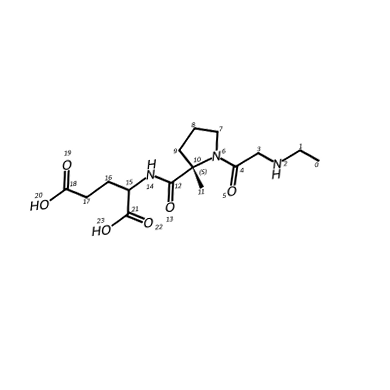 CCNCC(=O)N1CCC[C@@]1(C)C(=O)NC(CCC(=O)O)C(=O)O